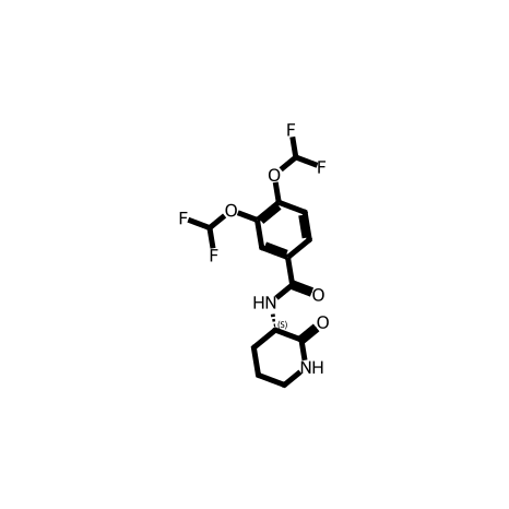 O=C(N[C@H]1CCCNC1=O)c1ccc(OC(F)F)c(OC(F)F)c1